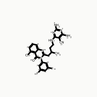 CC(CCNc1nc(N)nc(N)c1C#N)Cc1nc2cccc(Cl)c2c(=O)n1-c1cc(F)cc(F)c1